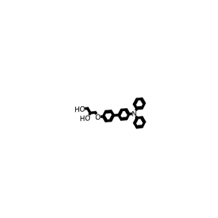 OCC(O)COc1ccc(-c2ccc(N(c3ccccc3)c3ccccc3)cc2)cc1